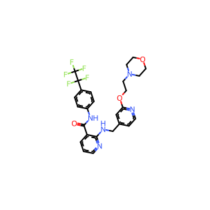 O=C(Nc1ccc(C(F)(F)C(F)(F)F)cc1)c1cccnc1NCc1ccnc(OCCN2CCOCC2)c1